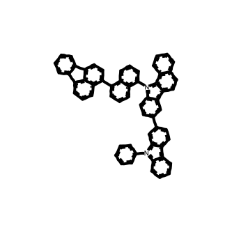 c1ccc(-n2c3ccccc3c3ccc(-c4ccc5c(c4)c4ccc6ccccc6c4n5-c4cccc5c(-c6ccc7c8c(cccc68)-c6ccccc6-7)cccc45)cc32)cc1